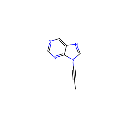 CC#Cn1cnc2cncnc21